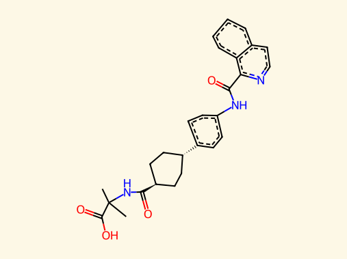 CC(C)(NC(=O)[C@H]1CC[C@H](c2ccc(NC(=O)c3nccc4ccccc34)cc2)CC1)C(=O)O